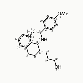 COc1ccc([C@@H](C)N[C@H]2c3ncccc3CC[C@H]2CCCO)cc1